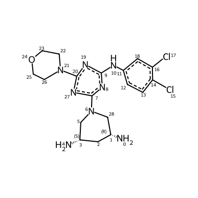 N[C@@H]1C[C@H](N)CN(c2nc(Nc3ccc(Cl)c(Cl)c3)nc(N3CCOCC3)n2)C1